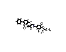 CNC(=O)[C@@H](/C=C/c1ccc(OC(C)C)c(Cl)c1)Cc1ccc(-c2ccccc2)cc1